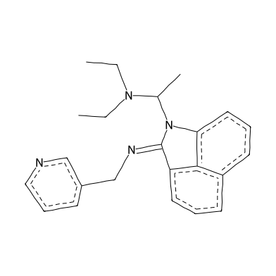 CCN(CC)C(C)N1C(=NCc2cccnc2)c2cccc3cccc1c23